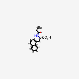 CCC(C)CC(=O)N[C@@H](Cc1cccc2ccccc12)C(=O)O